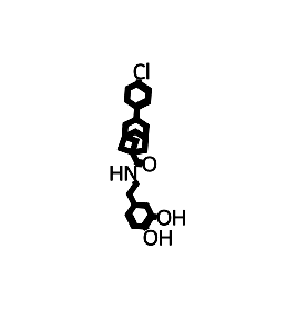 O=C(NCCC1C=CC(O)=C(O)C1)C12CC3CC(C4=CC=C(Cl)CC4)CC(C3)(C1)C2